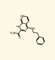 NC(=O)C1=NC(NCCc2ccccc2)=C2C=[C]NC=C2N1